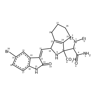 CCN(CC)C(C(N)=O)C1(C(=O)O)NC(C=C2C(=O)Nc3ccc(Br)cc32)C2=C1CCCC2